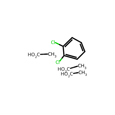 CC(=O)O.CC(=O)O.CC(=O)O.Clc1ccccc1Cl